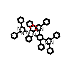 c1ccc(-c2cc(-c3cc(-c4nc(-c5ccccc5)cc(-c5ccccc5)n4)c(N4c5ccccc5N(c5cc(-c6ccccc6)nc(-c6ccccc6)n5)c5ccccc54)cc3-c3ccccc3)nc(-c3ccccc3)n2)cc1